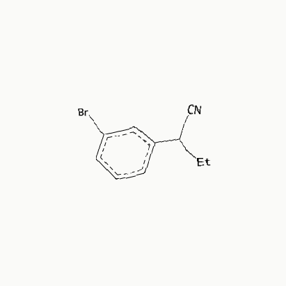 CCC(C#N)c1cccc(Br)c1